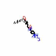 COC(=O)C(C)(C)CCc1nc(-c2ccc(N)cc2)no1